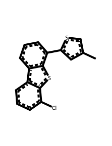 Cc1csc(-c2cccc3c2sc2c(Cl)cccc23)c1